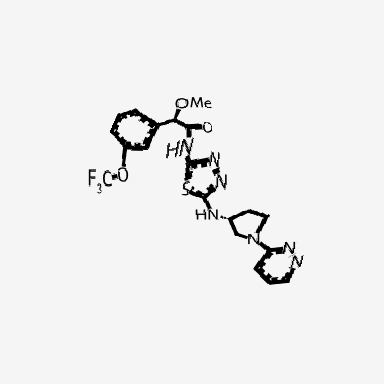 CO[C@@H](C(=O)Nc1nnc(N[C@@H]2CCN(c3cccnn3)C2)s1)c1cccc(OC(F)(F)F)c1